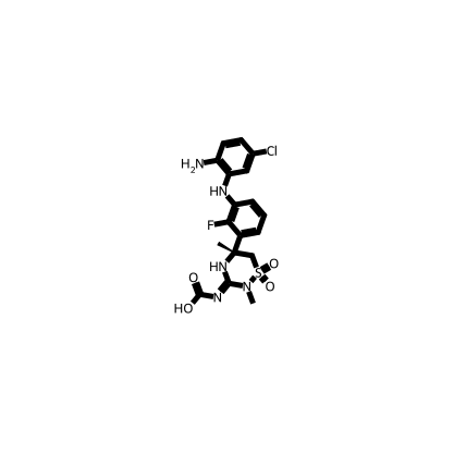 CN1/C(=N/C(=O)O)N[C@](C)(c2cccc(Nc3cc(Cl)ccc3N)c2F)CS1(=O)=O